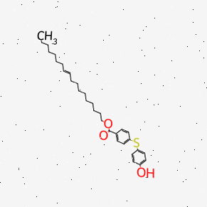 CCCCCCCC=CCCCCCCCCCOC(=O)c1ccc(Sc2ccc(O)cc2)cc1